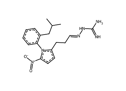 CC(C)Cc1ccccc1-n1c(CC/C=N/NC(=N)N)ccc1[N+](=O)[O-]